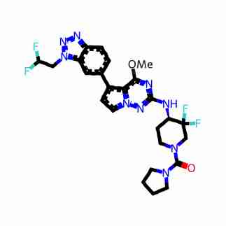 COc1nc(N[C@@H]2CCN(C(=O)N3CCCC3)CC2(F)F)nn2ccc(-c3ccc4nnn(CC(F)F)c4c3)c12